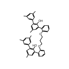 Cc1cc(C)cc(-c2cc(C)cc(-c3ccccc3OCCCOc3ccccc3-c3cc(C)cc(-c4cc(C)cc(C)c4)c3O)c2O)c1